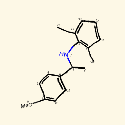 COc1ccc(C(C)Nc2c(C)cccc2C)cc1